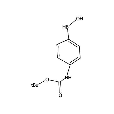 CC(C)(C)OC(=O)Nc1ccc(BO)cc1